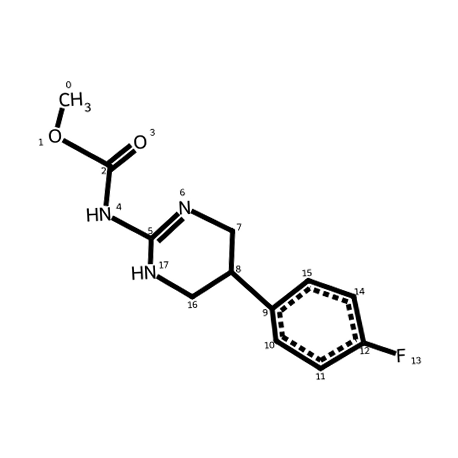 COC(=O)NC1=NCC(c2ccc(F)cc2)CN1